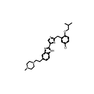 CC(C)COc1ccc(Cl)cc1Cc1nc(-c2nc3cc(CCN4CCN(C)CC4)ccc3[nH]2)cs1